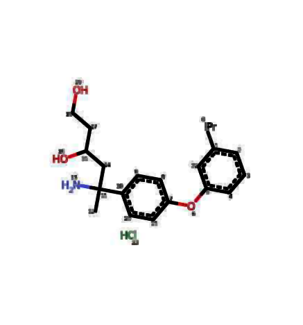 CC(C)c1cccc(Oc2ccc(C(C)(N)CC(O)CCO)cc2)c1.Cl